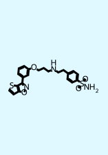 NS(=O)(=O)c1ccc(CCNCCCOc2cccc(-c3noc4ccsc34)c2)cc1